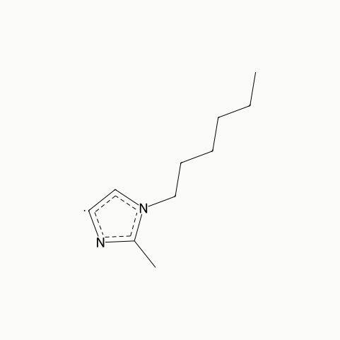 CCCCCCn1c[c]nc1C